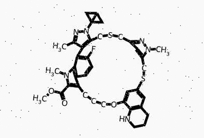 COC(=O)c1c2c3ccc(F)c(c3n1C)-c1c(C)nn(C34CC3C4)c1CSCc1cc(n(C)n1)CSc1cc3c(c(c1)OCCC2)NCCC3